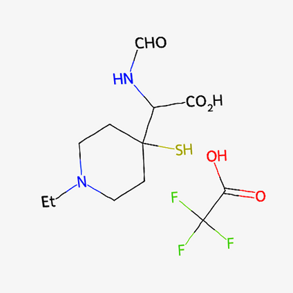 CCN1CCC(S)(C(NC=O)C(=O)O)CC1.O=C(O)C(F)(F)F